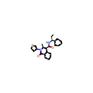 CC[C@H](NC(=O)c1c(C)n(-c2ccsc2)c(=O)c2ccccc12)c1ccccc1